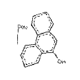 COC.Oc1cc2ccccc2c2ccccc12